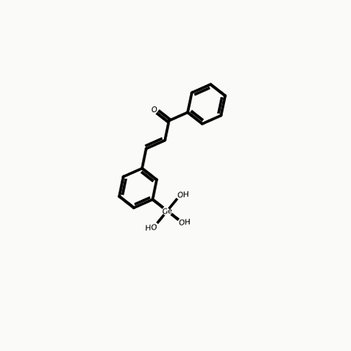 O=C(C=Cc1ccc[c]([Ge]([OH])([OH])[OH])c1)c1ccccc1